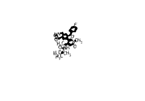 CC(N[S@@+]([O-])C(C)(C)C)c1cc(=O)n(C)cc1-c1cc2c(cc1C(=O)c1ccc(F)cc1)CNS(=O)(=O)C2